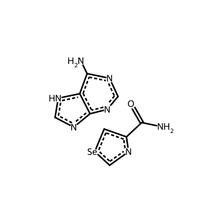 NC(=O)c1c[se]cn1.Nc1ncnc2nc[nH]c12